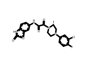 C[C@@H]1CN(c2ccc(F)c(Cl)c2)CCN1C(=O)C(=O)Nc1ccc2[nH]c(=O)oc2c1